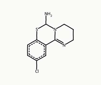 NC1Sc2ccc(Cl)cc2C2=NCCCN21